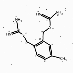 Cc1ccc(CSC(=N)N)c(CSC(=N)N)c1